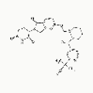 CC(C)(C#N)c1cc(C(=O)N2CCCC[C@@H]2COc2ccc3c(c2)CN(C2CCC(=O)NC2=O)C3=O)ccn1